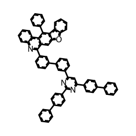 c1ccc(-c2ccc(-c3cc(-c4cccc(-c5cccc(-c6nc7ccccc7c7c(-c8ccccc8)c8c(cc67)oc6ccccc68)c5)c4)nc(-c4ccc(-c5ccccc5)cc4)n3)cc2)cc1